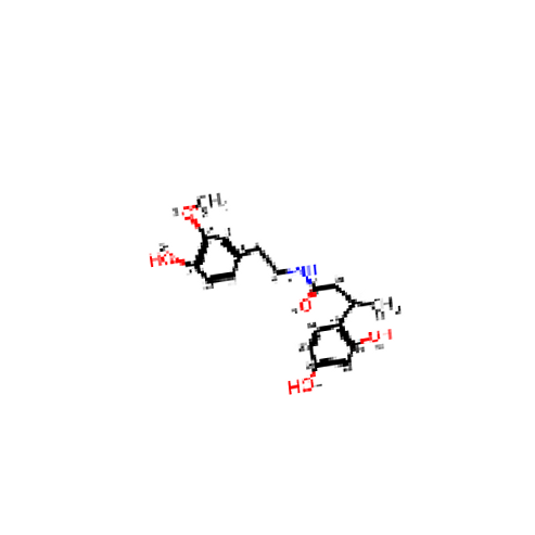 COc1cc(CCNC(=O)CC(C)c2ccc(O)cc2O)ccc1O